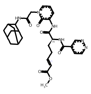 COC(=O)/C=C/CC[C@H](NC(=O)c1ccnnc1)C(=O)Nc1cccn(CC(=O)NC2C3CC4CC(C3)CC2C4)c1=O